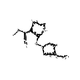 COC(=O)c1cccnc1Oc1ccc(N)cc1